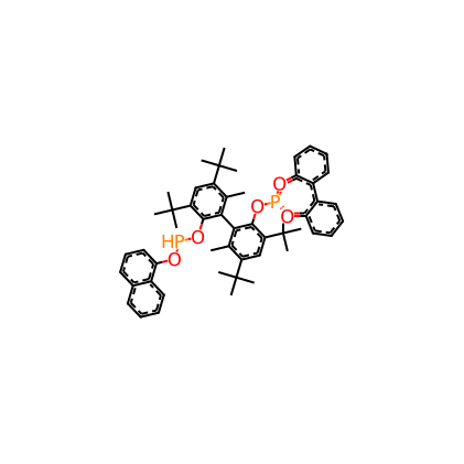 Cc1c(C(C)(C)C)cc(C(C)(C)C)c(OPOc2cccc3ccccc23)c1-c1c(C)c(C(C)(C)C)cc(C(C)(C)C)c1Op1oc2ccccc2c2ccccc2o1